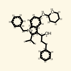 CC(C)c1c(C(O)CCc2ccccc2)c2cc(OC3CCCCO3)ccc2n1Cc1ccccc1